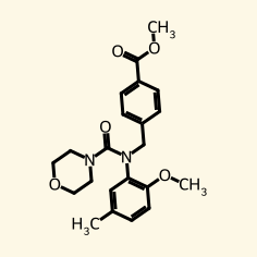 COC(=O)c1ccc(CN(C(=O)N2CCOCC2)c2cc(C)ccc2OC)cc1